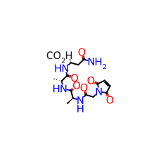 C[C@H](NC(=O)CN1C(=O)C=CC1=O)C(=O)N[C@H](C)C(=O)N[C@@H](CC(N)=O)C(=O)O